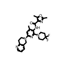 Cc1nc(C(=O)Nc2c(C)cc(N3CCc4ncccc4C3)nc2N2CCC(F)(F)CC2)c(C)o1